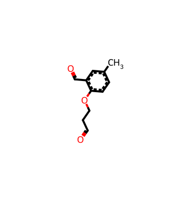 Cc1ccc(OCCC=O)c(C=O)c1